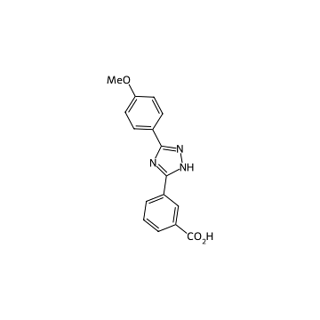 COc1ccc(-c2n[nH]c(-c3cccc(C(=O)O)c3)n2)cc1